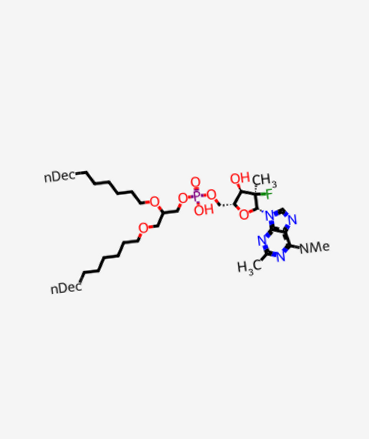 CCCCCCCCCCCCCCCCOCC(COP(=O)(O)OC[C@H]1O[C@@H](n2cnc3c(NC)nc(C)nc32)[C@](C)(F)[C@@H]1O)OCCCCCCCCCCCCCCCC